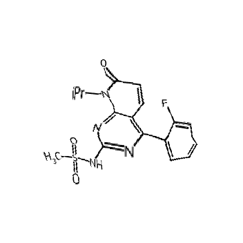 CC(C)n1c(=O)ccc2c(-c3ccccc3F)nc(NS(C)(=O)=O)nc21